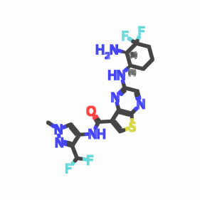 Cn1cc(NC(=O)c2csc3ncc(N[C@@H]4CCCC(F)(F)[C@@H]4N)nc23)c(C(F)F)n1